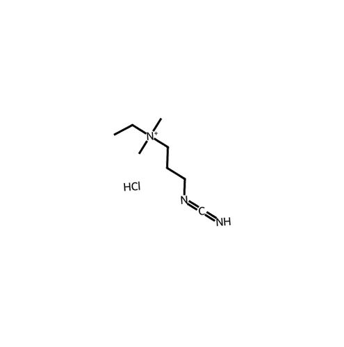 CC[N+](C)(C)CCCN=C=N.Cl